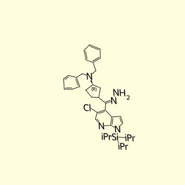 CC(C)[Si](C(C)C)(C(C)C)n1ccc2c(C(=NN)C3CC[C@@H](N(Cc4ccccc4)Cc4ccccc4)C3)c(Cl)cnc21